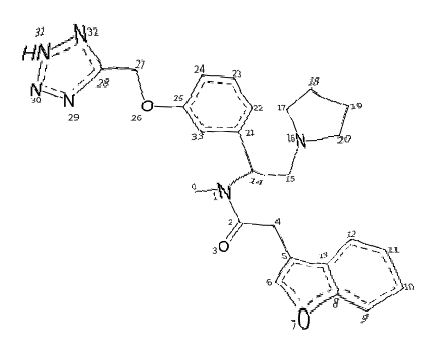 CN(C(=O)Cc1coc2ccccc12)C(CN1CCCC1)c1cccc(OCc2nn[nH]n2)c1